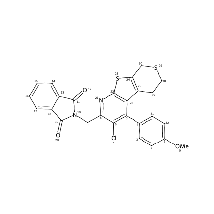 COc1ccc(-c2c(Cl)c(CN3C(=O)c4ccccc4C3=O)nc3sc4c(c23)CCSC4)cc1